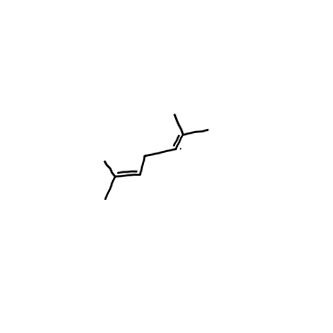 CC(C)=[C]CC=C(C)C